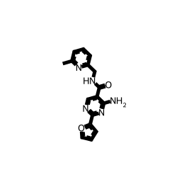 Cc1cccc(CNC(=O)c2cnc(-c3ccco3)nc2N)n1